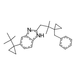 CC(C)(C)C1(c2ccc3[nH]c(CC(C)(C)C4(Cc5ccccc5)CC4)nc3c2)CC1